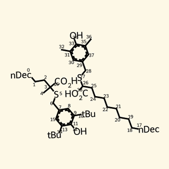 CCCCCCCCCCCCC(C)(SCc1cc(C(C)(C)C)c(O)c(C(C)(C)C)c1)C(=O)O.CCCCCCCCCCCCCCCCCCC(SCc1cc(C)c(O)c(C)c1)C(=O)O